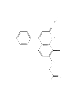 Cc1c(OCC(=O)O)ccc2c1OC(=C=O)C=C2c1ccccc1